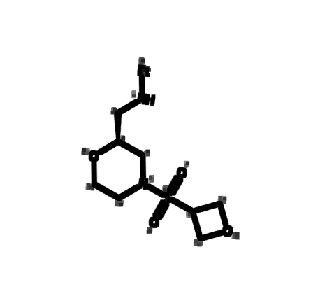 CCNC[C@H]1CN(S(=O)(=O)C2COC2)CCO1